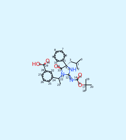 CC(C)C[C@]1(c2ccccc2)NC(=NC(=O)OC(C)(C)C)N(C(C)c2cccc(C(=O)O)c2)C1=O